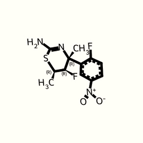 C[C@H]1SC(N)=N[C@](C)(c2cc([N+](=O)[O-])ccc2F)[C@H]1F